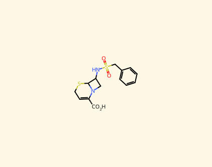 O=C(O)C1=CCSC2C(NS(=O)(=O)Cc3ccccc3)CN12